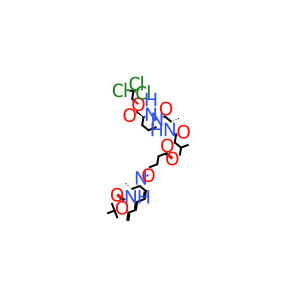 C=C/C=C/C=C\C(=N/OCCCC(=O)O[C@H](C(=O)N[C@@H](C)C(=O)N1CCC[C@@H](C(=O)OCC(Cl)(Cl)Cl)N1)C(C)C)[C@@H](C)NC(=O)OC(C)(C)C